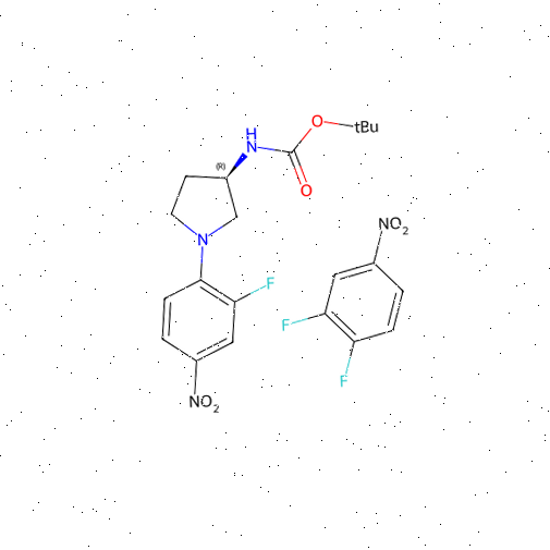 CC(C)(C)OC(=O)N[C@@H]1CCN(c2ccc([N+](=O)[O-])cc2F)C1.O=[N+]([O-])c1ccc(F)c(F)c1